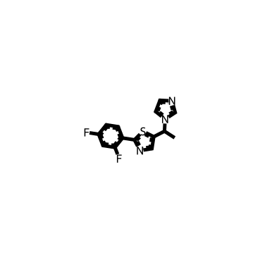 CC(c1cnc(-c2ccc(F)cc2F)s1)n1ccnc1